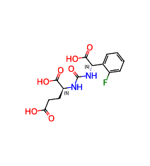 O=C(O)CC[C@H](NC(=O)N[C@H](C(=O)O)c1ccccc1F)C(=O)O